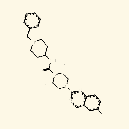 C[C@@H]1CN(c2ncc3cc(F)ccc3n2)C[C@H](C)N1C(=O)NC1CCN(Cc2ccccc2)CC1